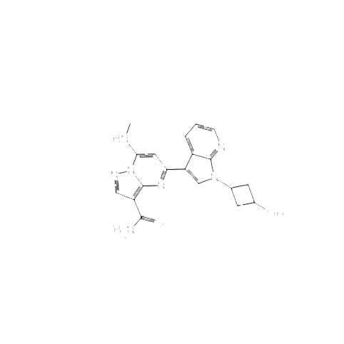 CNc1cc(-c2cn(C3CC(O)C3)c3ncccc23)nc2c(C(N)=O)cnn12